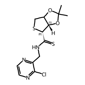 CC1(C)OC2CS[C@@H](C(=S)NCc3nccnc3Cl)[C@H]2O1